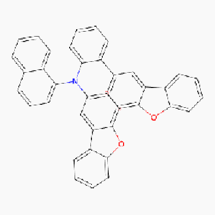 c1ccc(N(c2ccc3oc4ccccc4c3c2)c2cccc3ccccc23)c(-c2ccc3oc4ccccc4c3c2)c1